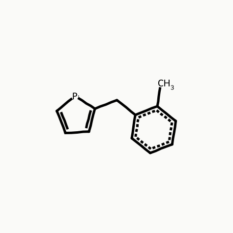 Cc1ccccc1CC1=CC=C[P]1